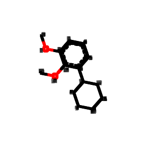 COc1cccc(C2CC[CH]CC2)c1OC